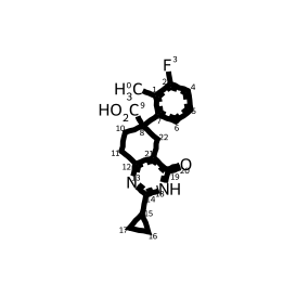 Cc1c(F)cccc1C1(C(=O)O)CCc2nc(C3CC3)[nH]c(=O)c2C1